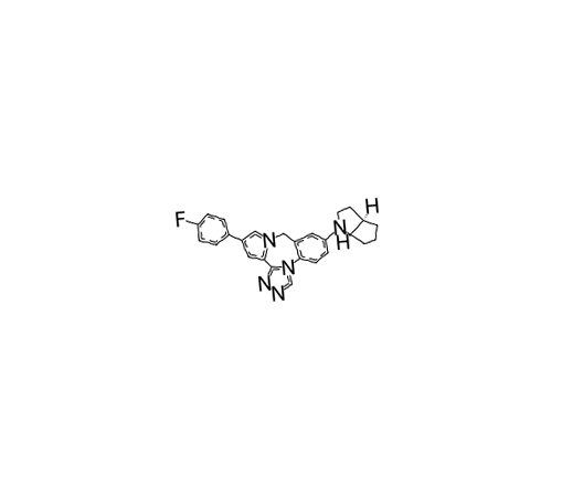 Fc1ccc(-c2cc3n(c2)Cc2cc(N4CC[C@H]5CCC[C@@H]54)ccc2-n2cnnc2-3)cc1